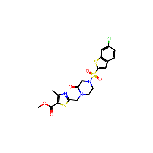 COC(=O)c1sc(CN2CCN(S(=O)(=O)c3cc4ccc(Cl)cc4s3)CC2=O)nc1C